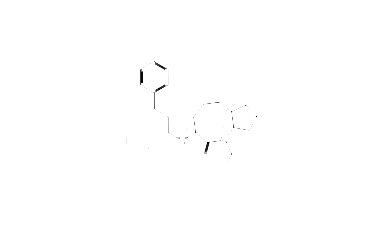 CCOC(=O)[C@H](CCc1ccccc1)N[C@H]1CCCC2CCC[C@H]2N(CC(=O)O)C1=O